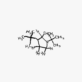 [2H]C1(C)C(C(C)(C)C)C([2H])([2H])C([2H])([2H])N1C(C)(C)C